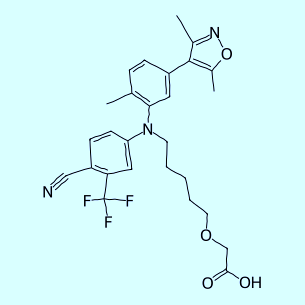 Cc1ccc(-c2c(C)noc2C)cc1N(CCCCCOCC(=O)O)c1ccc(C#N)c(C(F)(F)F)c1